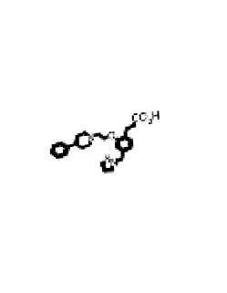 O=C(O)CCc1ccc(Cn2cccn2)cc1OCCN1CC=C(c2ccccc2)CC1